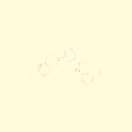 Cc1ccc(C(=O)Nc2cccc(C(C)C)c2)cc1N1CCc2nc([S+](C)[O-])ncc2C1